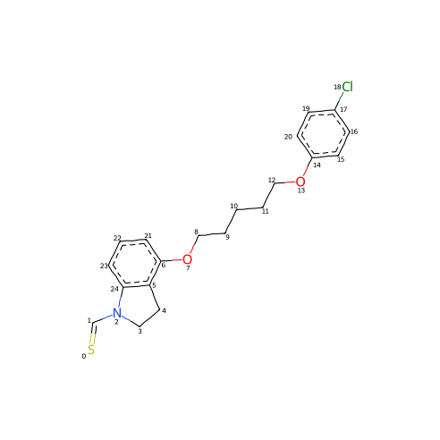 S=CN1CCc2c(OCCCCCOc3ccc(Cl)cc3)cccc21